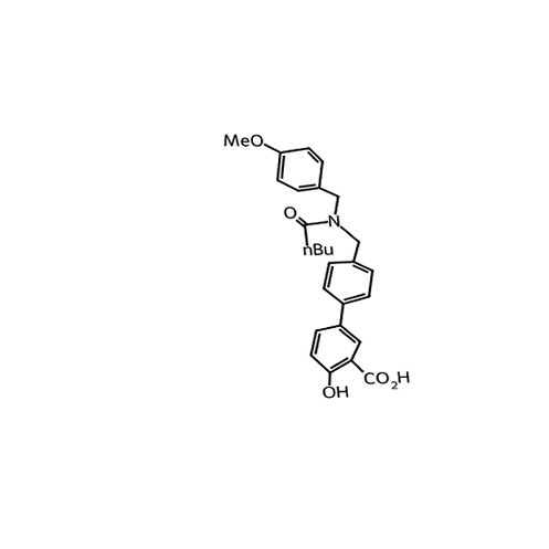 CCCCC(=O)N(Cc1ccc(OC)cc1)Cc1ccc(-c2ccc(O)c(C(=O)O)c2)cc1